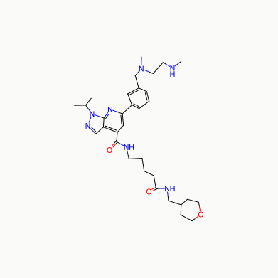 CNCCN(C)Cc1cccc(-c2cc(C(=O)NCCCCC(=O)NCC3CCOCC3)c3cnn(C(C)C)c3n2)c1